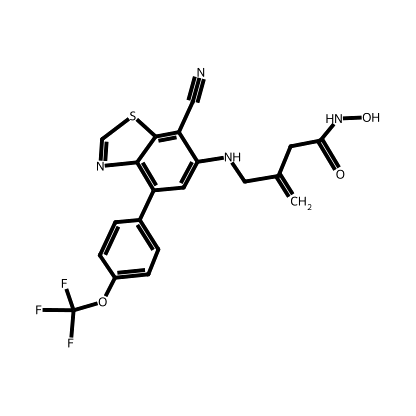 C=C(CNc1cc(-c2ccc(OC(F)(F)F)cc2)c2ncsc2c1C#N)CC(=O)NO